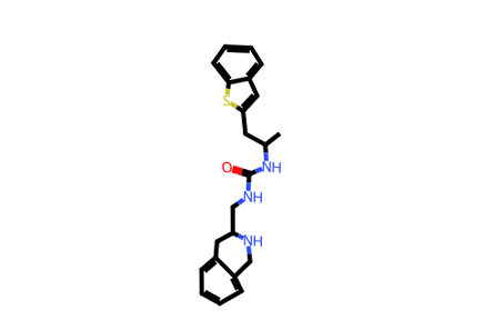 CC(Cc1cc2ccccc2s1)NC(=O)NCC1Cc2ccccc2CN1